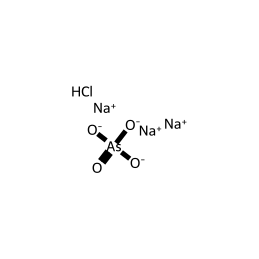 Cl.O=[As]([O-])([O-])[O-].[Na+].[Na+].[Na+]